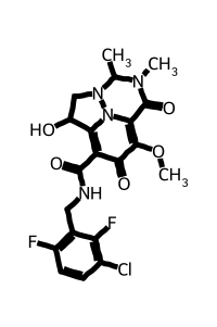 COc1c2n3c(c(C(=O)NCc4c(F)ccc(Cl)c4F)c1=O)C(O)CN3C(C)N(C)C2=O